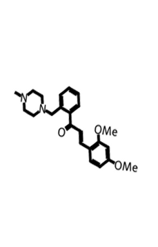 COc1ccc(C=CC(=O)c2ccccc2CN2CCN(C)CC2)c(OC)c1